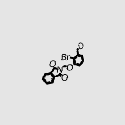 O=Cc1cccc(OCN2C(=O)c3ccccc3C2=O)c1Br